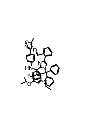 CCOc1cc(OC(C)C)c(F)c(C(Nc2ccc(-c3noc(C)n3)cc2)c2nc(-c3ccccc3C=O)cn2C(c2ccccc2)(c2ccccc2)c2ccccc2)c1